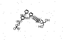 OCC(CO)(CO)CO.[C]=O.[C]=O.[C]=O.[C]=O.[C]=O.[C]=O.[Mn+][C]1=CC=CC1.[Mn+][C]1=CC=CC1.[Mn+][C]1=CC=CC1.[O-]P([O-])[O-]